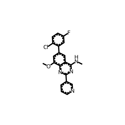 CNc1nc(-c2cccnc2)nc2c(OC)cc(-c3cc(F)ccc3Cl)cc12